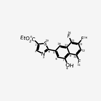 CCOC(=O)c1cnc(-c2cc(O)c3c(F)cc(F)c(F)c3c2)s1